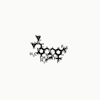 Cc1cc(CN(Cc2cc(C(F)(F)F)cc(C(F)(F)F)c2)c2nnn(C)n2)c(CN(C2CC2)C2CC2)nc1C